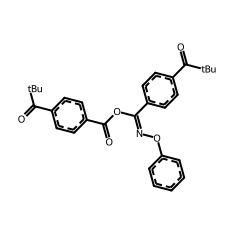 CC(C)(C)C(=O)c1ccc(C(=O)OC(=NOc2ccccc2)c2ccc(C(=O)C(C)(C)C)cc2)cc1